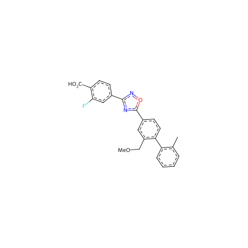 COCc1cc(-c2nc(-c3ccc(C(=O)O)c(F)c3)no2)ccc1-c1ccccc1C